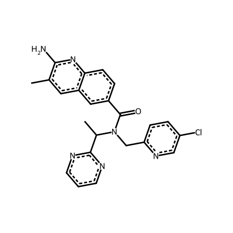 Cc1cc2cc(C(=O)N(Cc3ccc(Cl)cn3)C(C)c3ncccn3)ccc2nc1N